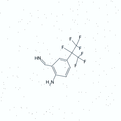 N=Cc1cc(C(F)(C(F)(F)F)C(F)(F)F)ccc1N